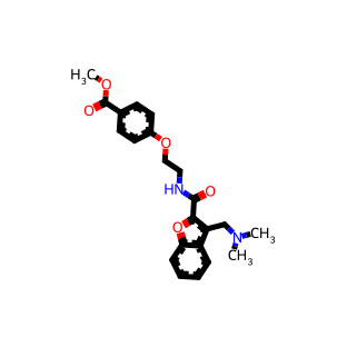 COC(=O)c1ccc(OCCNC(=O)c2oc3ccccc3c2CN(C)C)cc1